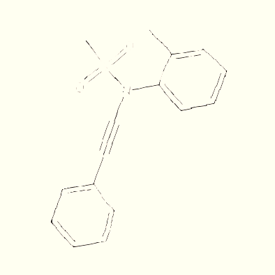 Cc1ccccc1N(C#Cc1ccccc1)S(C)(=O)=O